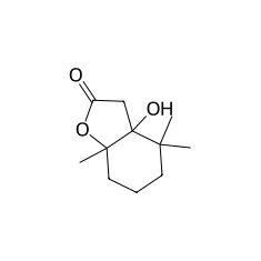 CC1(C)CCCC2(C)OC(=O)CC12O